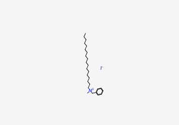 CCCCCCCCCCCCCCCCCC[N+](C)(C)Cc1ccccc1.[I-]